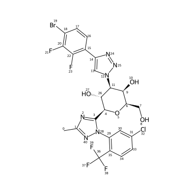 Cc1nc([C@@H]2O[C@H](CO)[C@H](O)[C@H](n3cc(-c4ccc(Br)c(F)c4F)nn3)[C@H]2O)n(-c2cc(Cl)ccc2C(F)(F)F)n1